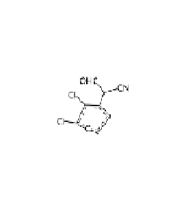 N#CC(C=O)c1cccc(Cl)c1Cl